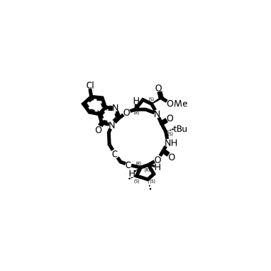 COC(=O)[C@@H]1C[C@@H]2CN1C(=O)[C@H](C(C)(C)C)NC(=O)O[C@@H]1C[C@H](C)[C@H](C)[C@H]1CCCCCn1c(nc3cc(Cl)ccc3c1=O)O2